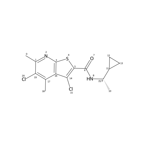 Cc1nc2sc(C(=O)N[C@@H](C)C3CC3)c(Cl)c2c(C)c1Cl